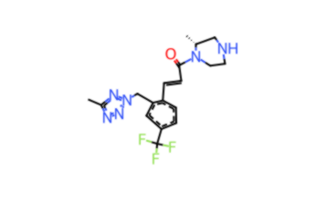 Cc1nnn(Cc2cc(C(F)(F)F)ccc2C=CC(=O)N2CCNC[C@H]2C)n1